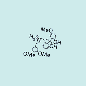 COc1ccc(O)c(C(CO)(CCCN(C)CCc2ccc(OC)c(OC)c2)c2ccccc2)c1